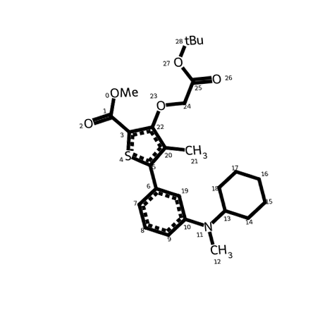 COC(=O)c1sc(-c2cccc(N(C)C3CCCCC3)c2)c(C)c1OCC(=O)OC(C)(C)C